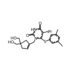 Cc1cc(C)cc(Sc2c(C(C)C)c(=O)[nH]c(=O)n2CC2=CCC(CO)(CO)C2)c1